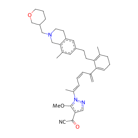 C=C(/C=C\C=C(/C)n1ncc(C(=O)C#N)c1OC)C1=CCCC(C)=C1CCc1cc(C)c2c(c1)CCN(CC1CCCOC1)C2